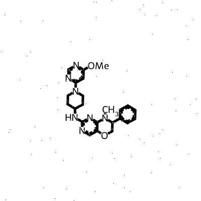 COc1cc(N2CCC(Nc3ncc4c(n3)N(C)C(c3ccccc3)CO4)CC2)ncn1